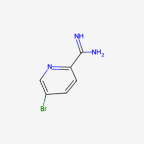 N=C(N)c1ccc(Br)cn1